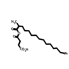 CC(C)CCCCCCCCCCCCC(C)C(=O)OC(=O)CCC(=O)O